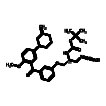 C=C1CCCN(c2ccc(OC)c(C(=O)c3cccc(OC[C@@H](CN=[N+]=N)NC(=O)OC(C)(C)C)c3)c2)C1